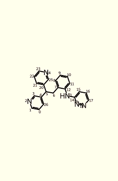 c1cncc(C(Cc2ccccc2Nc2cccnn2)c2cccnc2)c1